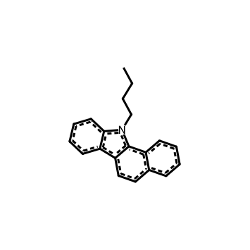 CCCCn1c2ccccc2c2ccc3ccccc3c21